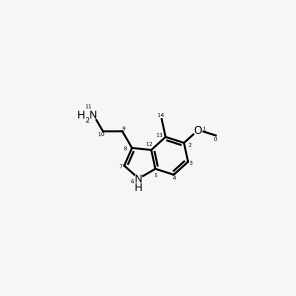 COc1ccc2[nH]cc(CCN)c2c1C